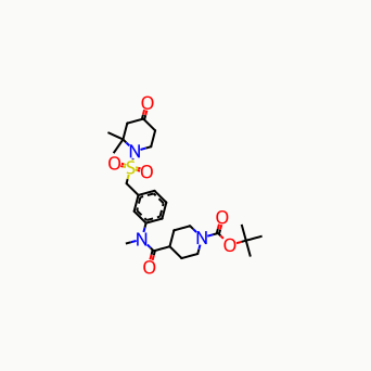 CN(C(=O)C1CCN(C(=O)OC(C)(C)C)CC1)c1cccc(CS(=O)(=O)N2CCC(=O)CC2(C)C)c1